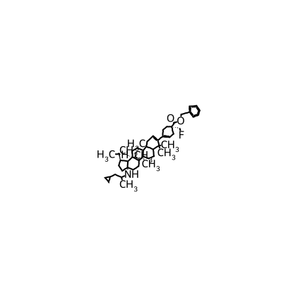 C=C(C)[C@@H]1CC[C@]2(NC(C)CC3CC3)CC[C@]3(C)[C@H](CCC4[C@@]5(C)CC=C(C6=CC[C@](CF)(C(=O)OCc7ccccc7)CC6)C(C)(C)C5CC[C@]43C)C12